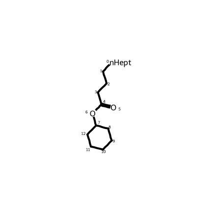 CCCCCCCCCCC(=O)OC1CCCCC1